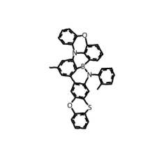 Cc1cc2c3c(c1)N1c4ccccc4Oc4cccc(c41)B3N(c1ccccc1C)c1cc3c(cc1-2)Oc1ccccc1S3